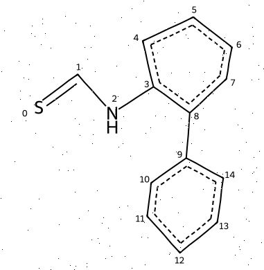 S=CNc1ccccc1-c1ccccc1